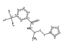 CC(CCc1ccco1)NC(=O)c1cccc(C(F)(F)F)c1